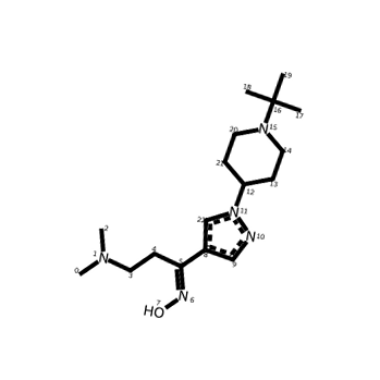 CN(C)CC/C(=N\O)c1cnn(C2CCN(C(C)(C)C)CC2)c1